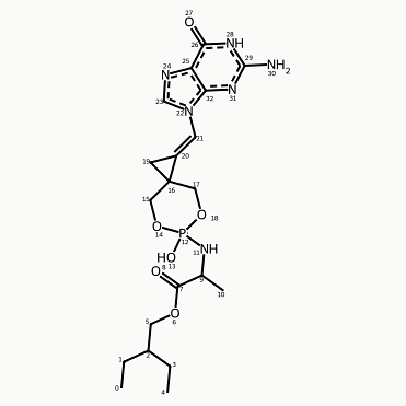 CCC(CC)COC(=O)C(C)N[P]1(O)OCC2(CO1)CC2=Cn1cnc2c(=O)[nH]c(N)nc21